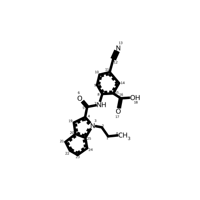 CCCn1c(C(=O)Nc2ccc(C#N)cc2C(=O)O)cc2ccccc21